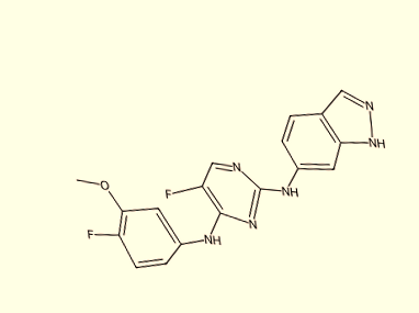 COc1cc(Nc2nc(Nc3ccc4cn[nH]c4c3)ncc2F)ccc1F